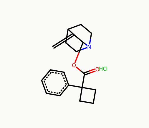 C=C1C2CCN(CC2)C1OC(=O)C1(c2ccccc2)CCC1.Cl